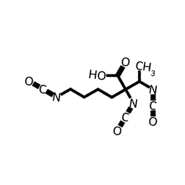 CC(N=C=O)C(CCCCN=C=O)(N=C=O)C(=O)O